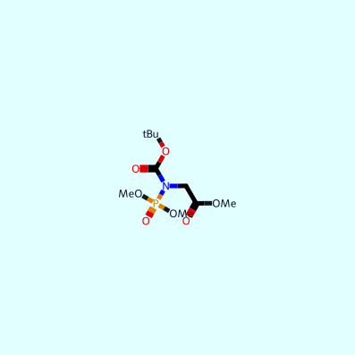 COC(=O)CN(C(=O)OC(C)(C)C)P(=O)(OC)OC